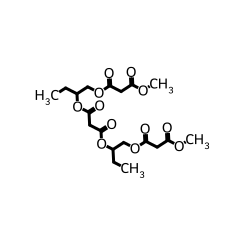 CCC(COC(=O)CC(=O)OC)OC(=O)CC(=O)OC(CC)COC(=O)CC(=O)OC